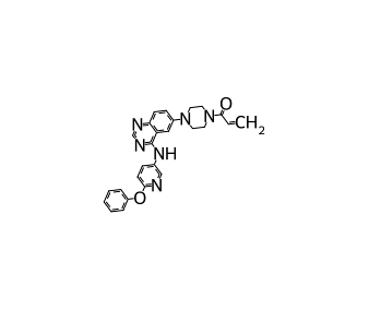 C=CC(=O)N1CCN(c2ccc3ncnc(Nc4ccc(Oc5ccccc5)nc4)c3c2)CC1